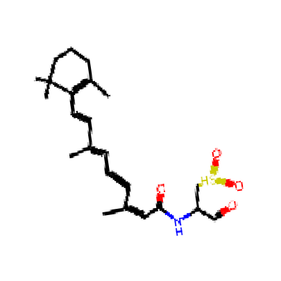 CC1=C(/C=C/C(C)=C/C=C/C(C)=C\C(=O)N[C@H](C=O)C[SH](=O)=O)C(C)(C)CCC1